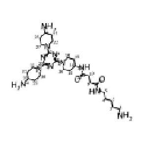 NCCCCCNC(=O)CCC(=O)NC1CCN(c2nc(N3CCC(N)CC3)nc(N3CCC(N)CC3)n2)CC1